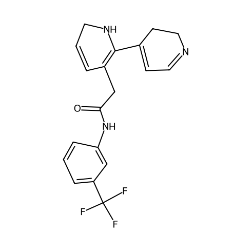 O=C(CC1=C(C2=CC=NCC2)NCC=C1)Nc1cccc(C(F)(F)F)c1